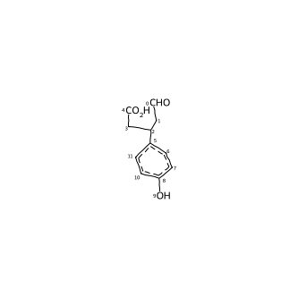 O=CCC(CC(=O)O)c1ccc(O)cc1